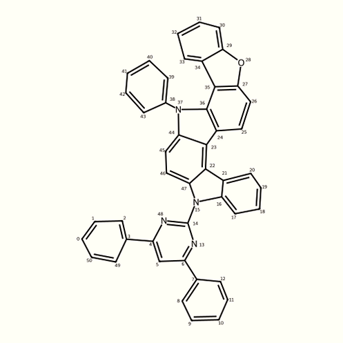 c1ccc(-c2cc(-c3ccccc3)nc(-n3c4ccccc4c4c5c6ccc7oc8ccccc8c7c6n(-c6ccccc6)c5ccc43)n2)cc1